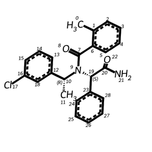 Cc1ccccc1C(=O)N([C@H](C)c1cccc(Cl)c1)[C@H](C(N)=O)c1ccccc1